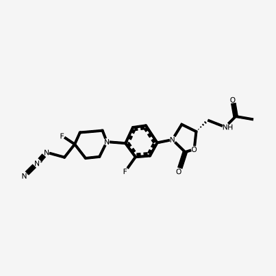 CC(=O)NC[C@H]1CN(c2ccc(N3CCC(F)(CN=[N+]=[N-])CC3)c(F)c2)C(=O)O1